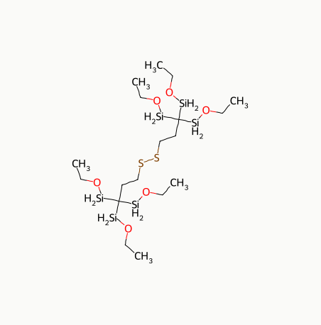 CCO[SiH2]C(CCSSCCC([SiH2]OCC)([SiH2]OCC)[SiH2]OCC)([SiH2]OCC)[SiH2]OCC